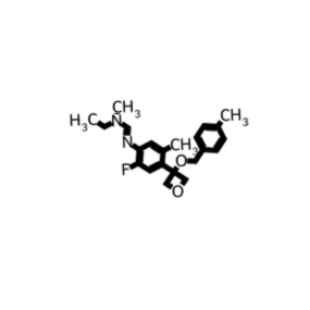 CCN(C)C=Nc1cc(C)c(C2(OCc3ccc(C)cc3)COC2)cc1F